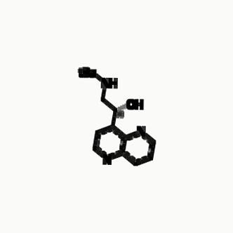 CC(C)(C)NC[C@H](O)c1ccnc2cccnc12